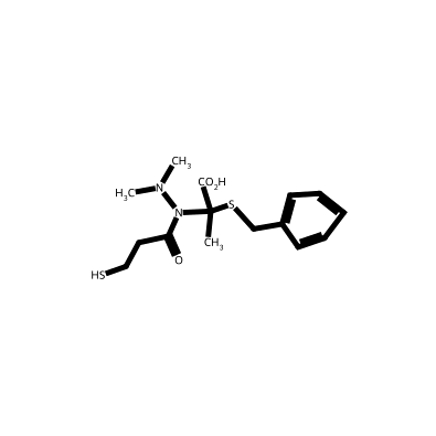 CN(C)N(C(=O)CCS)C(C)(SCc1ccccc1)C(=O)O